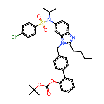 CCCCc1nc2ccc(N(C(C)C)S(=O)(=O)c3ccc(Cl)cc3)cc2n1Cc1ccc(-c2ccccc2OC(=O)OC(C)(C)C)cc1